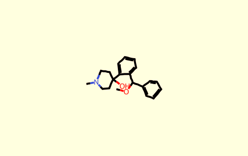 COC(c1ccccc1)c1ccccc1C1(O)CCN(C)CC1